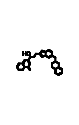 C=C1C=C(C(O)CCC2=CC3C=C(CC4CCc5ccccc5C4)C=CC3=C2)C=C2C=CC=CC12